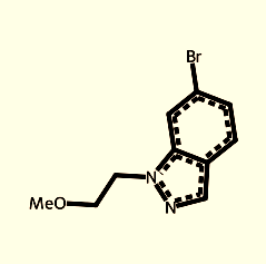 COCCn1ncc2ccc(Br)cc21